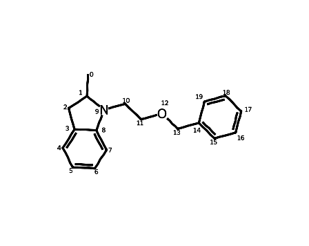 CC1Cc2ccccc2N1CCOCc1ccccc1